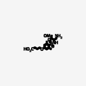 COC(=O)C(CN)NS(=O)(=O)c1c(C)cc(OCCCC(=O)O)cc1C